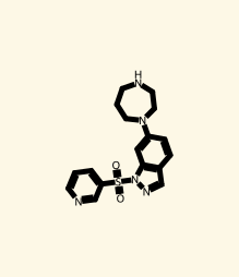 O=S(=O)(c1cccnc1)n1ncc2ccc(N3CCCNCC3)cc21